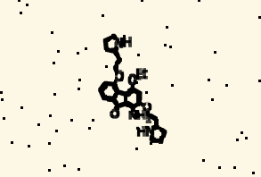 CCOc1cc(OCCC2CCCN2)c(N)c2c1-c1c(OCCC3CCCN3)cccc1C2=O